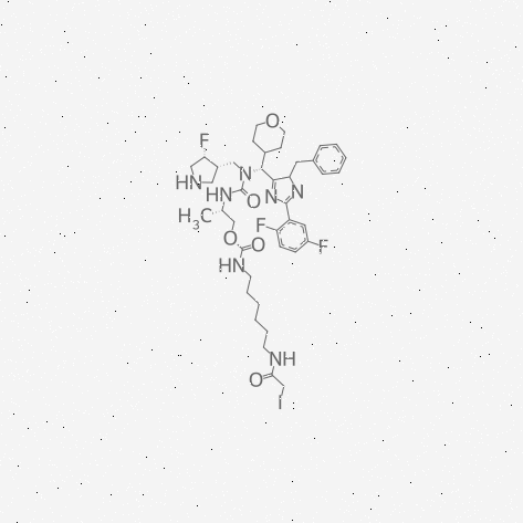 C[C@@H](COC(=O)NCCCCCCNC(=O)CI)NC(=O)N(C[C@@H]1CNC[C@@H]1F)[C@@H](C1=NC(c2cc(F)ccc2F)=NC1Cc1ccccc1)C1CCOCC1